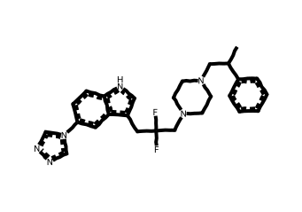 CC(CN1CCN(CC(F)(F)Cc2c[nH]c3ccc(-n4cnnc4)cc23)CC1)c1ccccc1